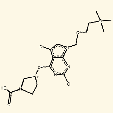 C[Si](C)(C)CCOCn1cc(Cl)c2c(O[C@@H]3CCN(C(=O)O)C3)nc(Cl)nc21